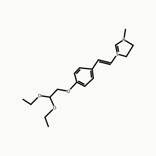 CCOC(COc1ccc(C=CS2=CN(C)CC2)cc1)OCC